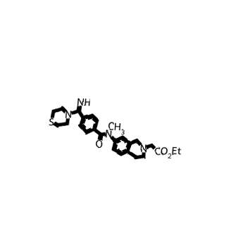 CCOC(=O)CN1CCc2ccc(N(C)C(=O)c3ccc(C(=N)N4CCSCC4)cc3)cc2C1